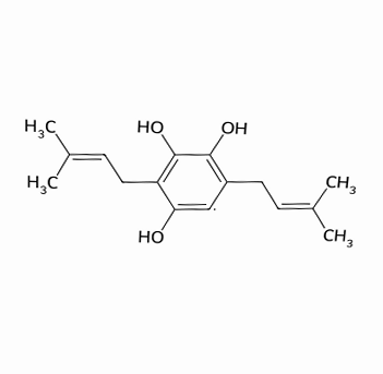 CC(C)=CCc1[c]c(O)c(CC=C(C)C)c(O)c1O